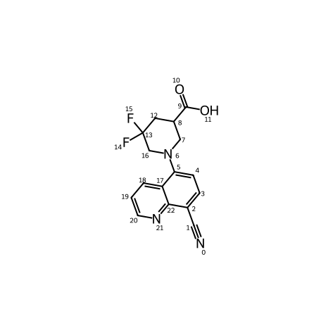 N#Cc1ccc(N2CC(C(=O)O)CC(F)(F)C2)c2cccnc12